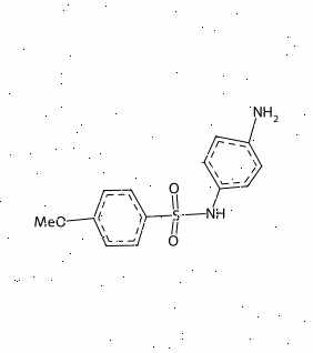 COc1ccc(S(=O)(=O)Nc2ccc(N)cc2)cc1